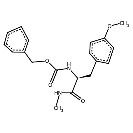 CNC(=O)[C@H](Cc1ccc(OC)cc1)NC(=O)OCc1ccccc1